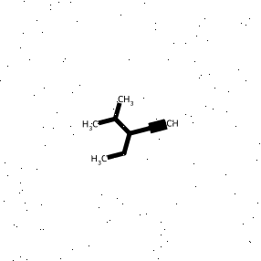 C#CC(CC)C(C)C